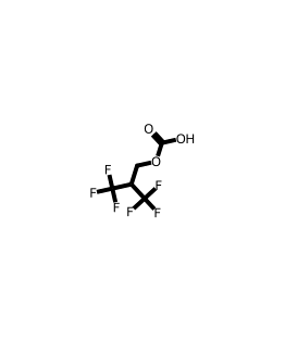 O=C(O)OCC(C(F)(F)F)C(F)(F)F